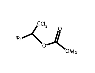 COC(=O)OC(C(C)C)C(Cl)(Cl)Cl